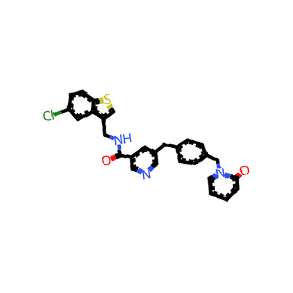 O=C(NCc1csc2ccc(Cl)cc12)c1cncc(Cc2ccc(Cn3ccccc3=O)cc2)c1